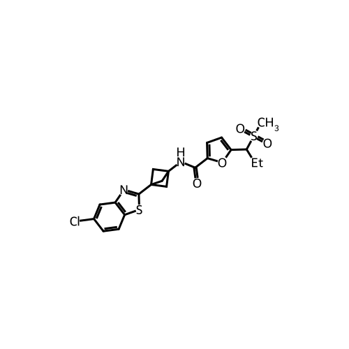 CCC(c1ccc(C(=O)NC23CC(c4nc5cc(Cl)ccc5s4)(C2)C3)o1)S(C)(=O)=O